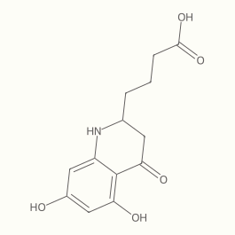 O=C(O)CCCC1CC(=O)c2c(O)cc(O)cc2N1